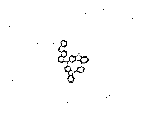 c1ccc(-n2c3ccccc3c3ccc(N(c4ccc5sc6ccccc6c5c4)c4cccc5c4ccc4c6ccccc6ccc54)cc32)cc1